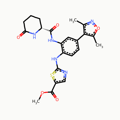 COC(=O)c1cnc(Nc2ccc(-c3c(C)noc3C)cc2NC(=O)[C@H]2CCCC(=O)N2)s1